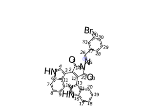 O=C1C(c2c[nH]c3ccccc23)=C(c2c[nH]c3ccccc23)C(=O)N1/N=C/c1cccc(Br)c1